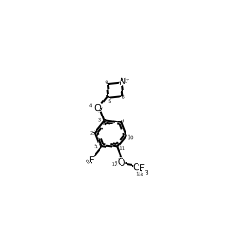 Fc1cc(OC2C[N]C2)ccc1OC(F)(F)F